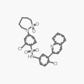 O=S(=O)(Nc1ccc(Cl)c(-c2ccc3ccccc3n2)c1)c1ccc(N2CCCCCS2(=O)=O)cc1Cl